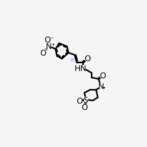 CN(C(=O)CCNC(=O)/C=C/c1ccc([N+](=O)[O-])cc1)C1CCS(=O)(=O)CC1